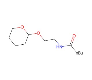 CCCCC(=O)NCCOC1CCCCO1